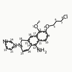 COc1c(OCCCCl)ccc2c(N)c3c(cc12)CN(n1ccnc1)C=C3